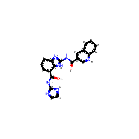 O=C(Nc1nc2cccc(C(=O)Nc3ncc[nH]3)c2[nH]1)c1cnc2ccccc2c1